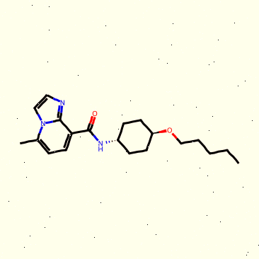 CCCCCO[C@H]1CC[C@H](NC(=O)c2ccc(C)n3ccnc23)CC1